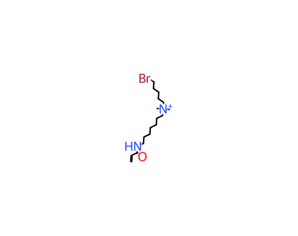 C=CC(=O)NCCCCCCC[N+](C)(C)CCCCCBr